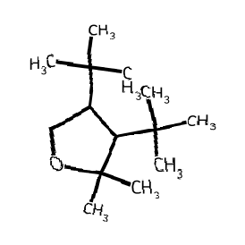 CC(C)(C)C1COC(C)(C)C1C(C)(C)C